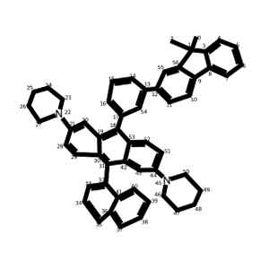 CC1(C)c2ccccc2-c2ccc(-c3cccc(-c4c5cc(N6CCCCC6)ccc5c(-c5cccc6ccccc56)c5cc(N6CCCCC6)ccc45)c3)cc21